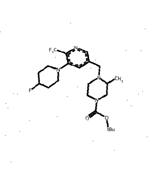 CC1CN(C(=O)OC(C)(C)C)CCN1Cc1cnc(C(F)(F)F)c(N2CCC(F)CC2)c1